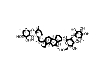 C[C@@H]([C@H]1CC[C@H]2[C@@H]3CC(=O)[C@H]4C[C@@H](O[C@@H]5O[C@H](CO)[C@@H](O)[C@H](O)[C@H]5O[C@@H]5O[C@@H](C)[C@H](O)[C@@H](O)[C@H]5O)CC[C@]4(C)[C@H]3CC[C@]12C)[C@H]1CC[C@H](C)[C@@H](O[C@@H]2O[C@@H](C)[C@H](O)[C@@H](O)[C@H]2O)O1